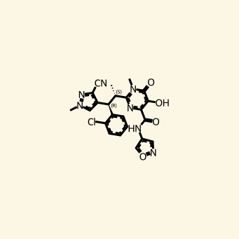 C[C@H](c1nc(C(=O)Nc2cnoc2)c(O)c(=O)n1C)[C@@H](c1ccccc1Cl)c1cn(C)nc1C#N